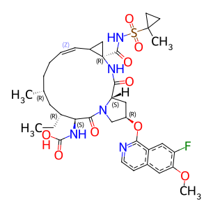 CC[C@@H]1C[C@H](C)CC/C=C\C2C[C@@]2(C(=O)NS(=O)(=O)C2(C)CC2)NC(=O)[C@@H]2C[C@@H](Oc3nccc4cc(OC)c(F)cc34)CN2C(=O)[C@H]1NC(=O)O